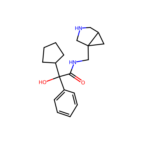 O=C(NCC12CNCC1C2)C(O)(c1ccccc1)C1CCCC1